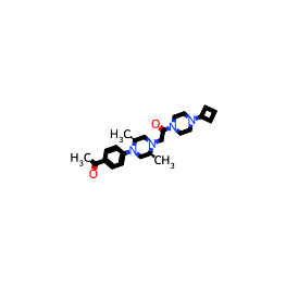 CC(=O)c1ccc(N2C[C@H](C)N(CC(=O)N3CCN(C4CCC4)CC3)C[C@H]2C)cc1